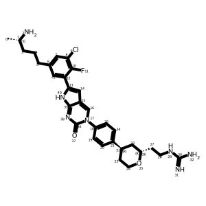 C[C@H](N)CCCc1cc(Cl)c(F)c(-c2cc3cn(-c4ccc([C@@H]5CCO[C@@H](CCNC(=N)N)C5)cc4)c(=O)nc3[nH]2)c1